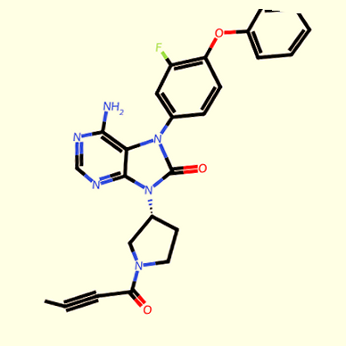 CC#CC(=O)N1CC[C@@H](n2c(=O)n(-c3ccc(Oc4ccccc4)c(F)c3)c3c(N)ncnc32)C1